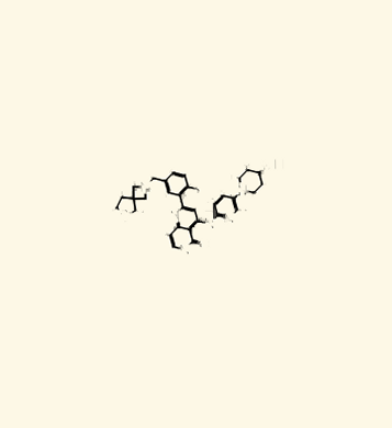 O=c1[nH]ccc2nc(-c3cc(CN4CC5(CCOC5)C4)ccc3F)cc(Nc3ccc(N4CCC(O)CC4)cn3)c12